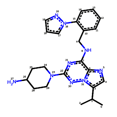 CC(C)c1cnc2c(NCc3ccccc3-n3cccn3)nc(N3CCC(N)CC3)nn12